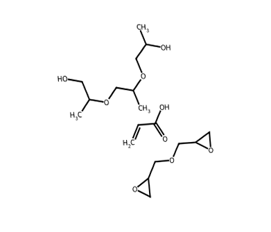 C(OCC1CO1)C1CO1.C=CC(=O)O.CC(O)COC(C)COC(C)CO